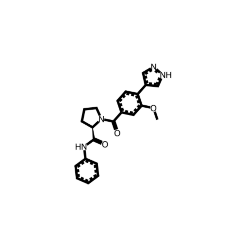 COc1cc(C(=O)N2CCC[C@@H]2C(=O)Nc2ccccc2)ccc1-c1cn[nH]c1